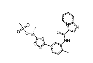 Cc1ccc(-c2noc([C@@H](C)OS(C)(=O)=O)n2)cc1NC(=O)c1cnc2ccccn12